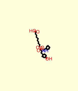 O=C(O)CCCCCCCCC(=O)OC(=O)C(Cc1ccc(O)cc1)NC(=O)c1ccccc1